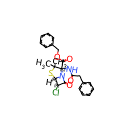 CC1(C)S[C@@H]2[C@H](Cl)C(=O)N2[C@@]1(NC(=O)Cc1ccccc1)C(=O)OCc1ccccc1